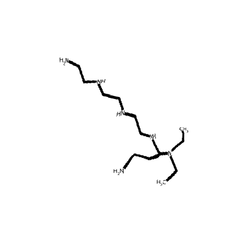 CCN(CC)C(CCN)NCCNCCNCCN